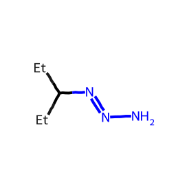 CCC(CC)N=NN